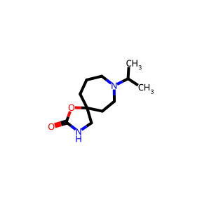 CC(C)N1CCCC2(CC1)CNC(=O)O2